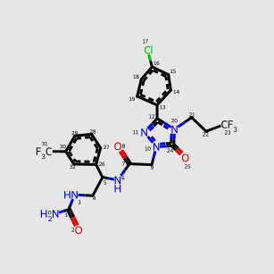 NC(=O)NCC(NC(=O)Cn1nc(-c2ccc(Cl)cc2)n(CCC(F)(F)F)c1=O)c1cccc(C(F)(F)F)c1